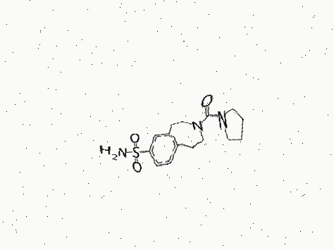 NS(=O)(=O)c1ccc2c(c1)CCN(C(=O)N1CCCC1)CC2